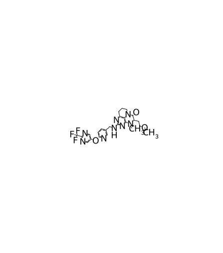 COCCC1C(=O)N2CCCc3nc(NCc4ccc(Oc5cnc(C(F)(F)F)nc5)nc4)nc(c32)N1C